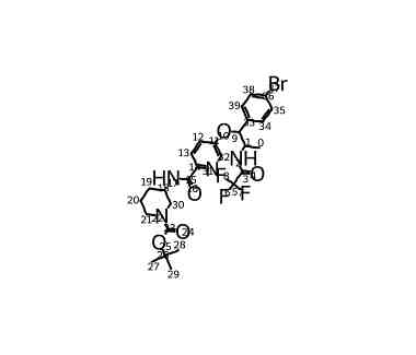 CC(NC(=O)C(F)(F)F)C(Oc1ccc(C(=O)N[C@H]2CCCN(C(=O)OC(C)(C)C)C2)nc1)c1ccc(Br)cc1